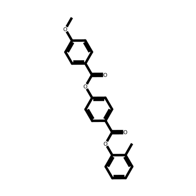 COc1ccc(C(=O)Oc2ccc(C(=O)Oc3ccccc3C)cc2)cc1